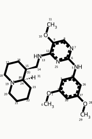 COc1cc(Nc2ncc(OC)c(NC[C@@H]3CCCN4CCCC[C@H]34)n2)cc(OC)c1